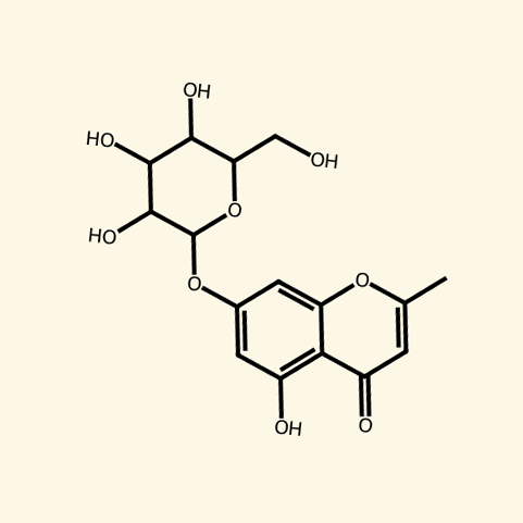 Cc1cc(=O)c2c(O)cc(OC3OC(CO)C(O)C(O)C3O)cc2o1